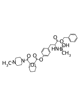 CB(O)NC(Cc1ccc(OC(=O)C2C3CCC(O3)C2C(=O)N2CCN(C)CC2)cc1)C(=O)OCc1ccccc1